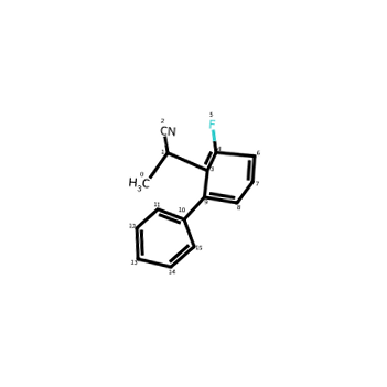 CC(C#N)c1c(F)cccc1-c1ccccc1